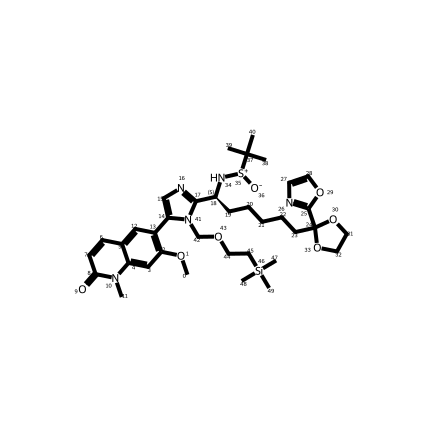 COc1cc2c(ccc(=O)n2C)cc1-c1cnc([C@H](CCCCCC2(c3ncco3)OCCO2)N[S+]([O-])C(C)(C)C)n1COCC[Si](C)(C)C